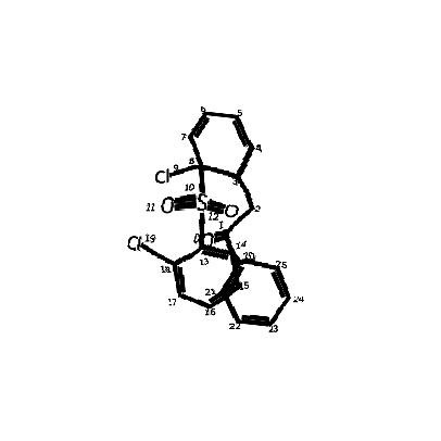 O=C(C[C]1C=CC=CC1(Cl)S(=O)(=O)c1ccccc1Cl)c1ccccc1